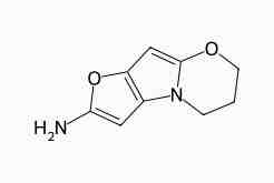 Nc1cc2c(cc3n2CCCO3)o1